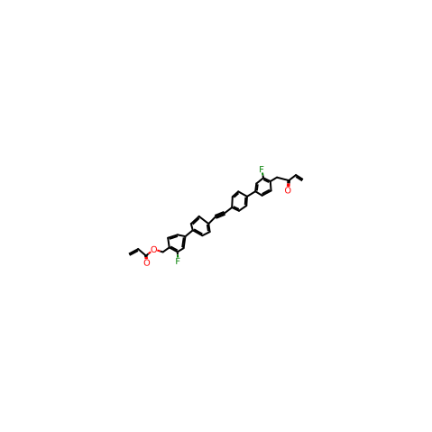 C=CC(=O)Cc1ccc(-c2ccc(C#Cc3ccc(-c4ccc(COC(=O)C=C)c(F)c4)cc3)cc2)cc1F